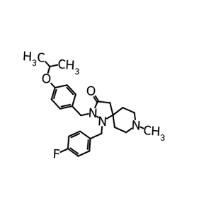 CC(C)Oc1ccc(CN2C(=O)CC3(CCN(C)CC3)N2Cc2ccc(F)cc2)cc1